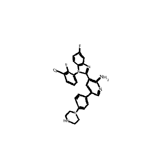 Nc1ncc(-c2ccc(N3CCNCC3)cc2)cc1-c1nc2cc(F)ccc2n1-c1cccc(Cl)c1F